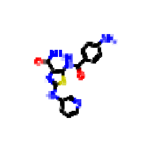 NC(=O)c1nc(Nc2cccnc2)sc1NC(=O)c1ccc(N)cc1